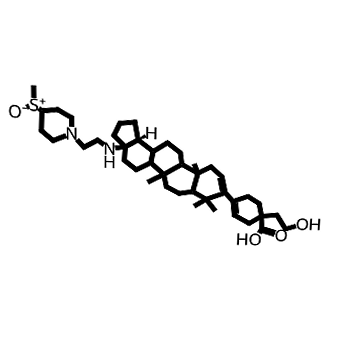 C[S+]([O-])C1CCN(CCNC23CCC[C@@H]2C2CCC4C(C)(CCC5C(C)(C)C(C6=CCC(CCO)(C(=O)O)CC6)=CCC54C)C2CC3)CC1